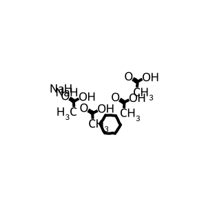 C1CCCCC1.CC(=O)O.CC(=O)O.CC(=O)O.CC(=O)O.[NaH].[NaH]